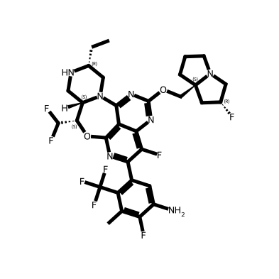 CC[C@@H]1CN2c3nc(OC[C@@]45CCCN4C[C@H](F)C5)nc4c(F)c(-c5cc(N)c(F)c(C)c5C(F)(F)F)nc(c34)O[C@H](C(F)F)[C@@H]2CN1